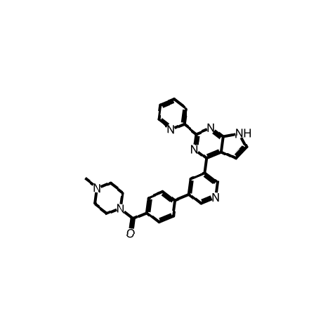 CN1CCN(C(=O)c2ccc(-c3cncc(-c4nc(-c5ccccn5)nc5[nH]ccc45)c3)cc2)CC1